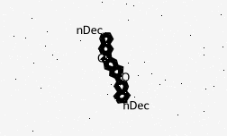 CCCCCCCCCCc1ccc2cc3c(cc2c1)oc1cc2cc4c(cc2cc13)oc1cc2cc(CCCCCCCCCC)ccc2cc14